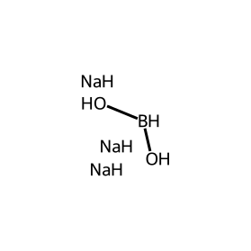 OBO.[NaH].[NaH].[NaH]